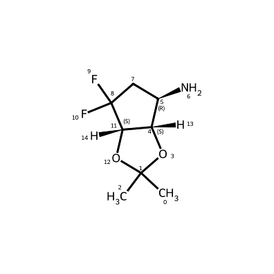 CC1(C)O[C@H]2[C@H](N)CC(F)(F)[C@H]2O1